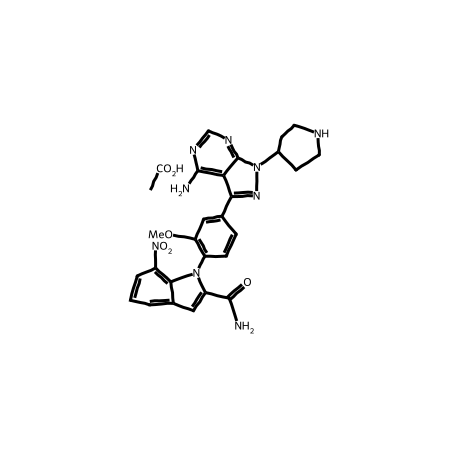 CC(=O)O.COc1cc(-c2nn(C3CCNCC3)c3ncnc(N)c23)ccc1-n1c(C(N)=O)cc2cccc([N+](=O)[O-])c21